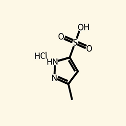 Cc1cc(S(=O)(=O)O)[nH]n1.Cl